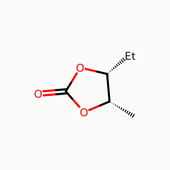 CC[C@H]1OC(=O)O[C@H]1C